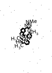 CNc1ncc(Cl)c(-c2ccc3c(c2)C(=O)N(C(C)C(=O)NC(C)c2cccc(N4CCN(C)CC4)n2)C3)n1